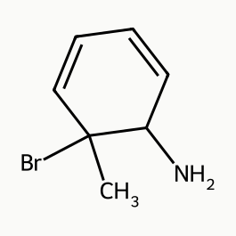 CC1(Br)C=CC=CC1N